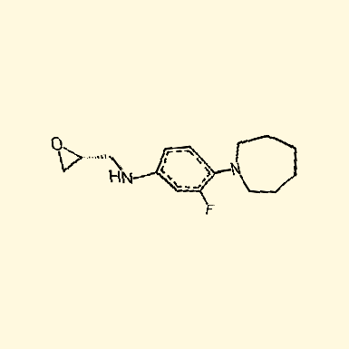 Fc1cc(NC[C@@H]2CO2)ccc1N1CCCCCC1